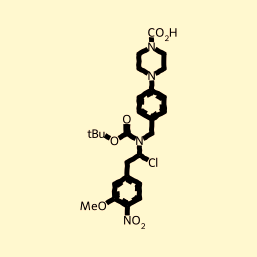 COc1cc(CC(Cl)N(Cc2ccc(N3CCN(C(=O)O)CC3)cc2)C(=O)OC(C)(C)C)ccc1[N+](=O)[O-]